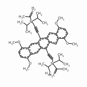 C=C(C)[Si](C#Cc1c2cc3c(OC)ccc(OC)c3cc2c(C#C[Si](C(=C)C)(C(C)C)C(C)C)c2cc3c(OC)ccc(OC)c3cc12)(C(C)C)C(C)C